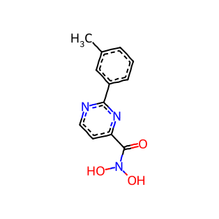 Cc1cccc(-c2nccc(C(=O)N(O)O)n2)c1